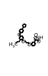 CCCc1cc(Oc2ccc(C3CCCC3)cc2)ccc1OCCCOc1cccc(C2SC(=O)NC2=O)c1